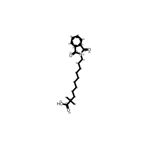 CC(C)(CCCCCCCCCN1C(=O)c2ccccc2C1=O)C(=O)O